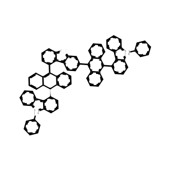 C1=CC2=C(c3cccc4oc5cc(-c6c7ccccc7c(-c7cccc8c7c7ccccc7n8-c7ccccc7)c7ccccc67)ccc5c34)c3ccccc3[C@@H](c3cccc4c3c3ccccc3n4-c3ccccc3)C2C=C1